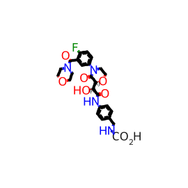 O=C(O)NCc1ccc(NC(=O)[C@H](O)[C@H]2OCCN(c3ccc(F)c(C(=O)N4CCOCC4)c3)C2=O)cc1